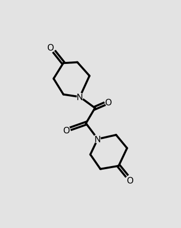 O=C1CCN(C(=O)C(=O)N2CCC(=O)CC2)CC1